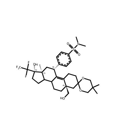 CN(C)S(=O)(=O)c1ccc([C@H]2C[C@@]3(C)C(CC[C@@]3(O)C(F)(F)C(F)(F)F)C3CC[C@@]4(CO)CC5(CCC4=C32)OCC(C)(C)CO5)cc1